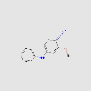 CCOC1=CC(Nc2ccccc2)=CCC1=[N+]=[N-]